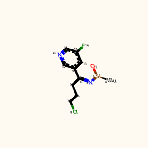 CC(C)(C)[S@+]([O-])/N=C(/CCCCl)c1cncc(F)c1